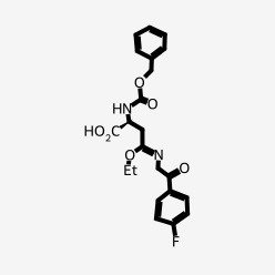 CCOC(C[C@H](NC(=O)OCc1ccccc1)C(=O)O)=NCC(=O)c1ccc(F)cc1